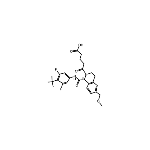 COCc1ccc2c(c1)CCN(C(=O)CCCC(=O)O)[C@H]2C(=O)Nc1cc(F)c(C(C)(C)C)c(F)c1